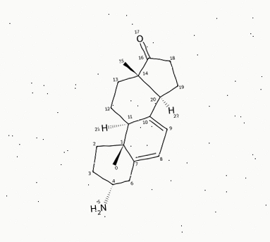 C[C@]12CC[C@@H](N)CC1=CC=C1[C@@H]2CC[C@]2(C)C(=O)CC[C@@H]12